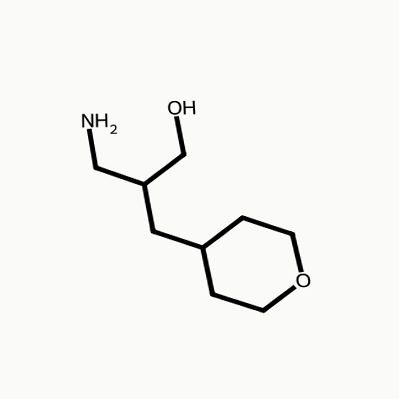 NCC(CO)CC1CCOCC1